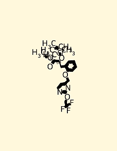 CCOC(=O)[C@H](Cc1ccccc1OCc1ccnc(OCC(F)(F)F)n1)O[Si](C)(C)C(C)(C)C